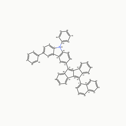 c1ccc(-c2ccc3c(c2)c2cc(C4=C5C(=C(c6cccc7ccccc67)c6ccccc65)c5ccccc54)ccc2n3-c2ccccc2)cc1